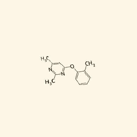 Cc1cc(Oc2ccccc2C)nc(C)n1